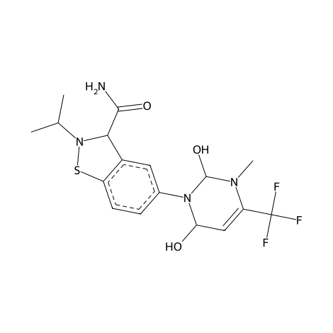 CC(C)N1Sc2ccc(N3C(O)C=C(C(F)(F)F)N(C)C3O)cc2C1C(N)=O